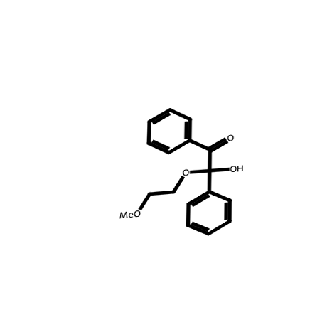 COCCOC(O)(C(=O)c1ccccc1)c1ccccc1